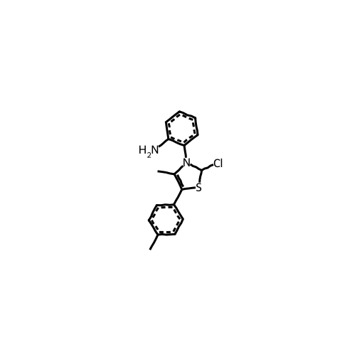 CC1=C(c2ccc(C)cc2)SC(Cl)N1c1ccccc1N